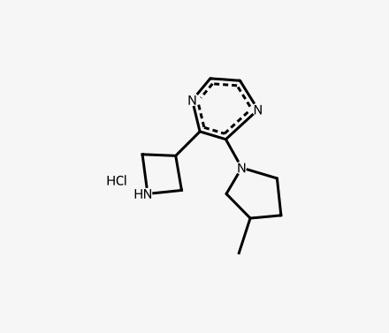 CC1CCN(c2nccnc2C2CNC2)C1.Cl